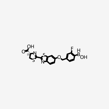 O=C(O)[C@H]1CSC(c2nc3ccc(OCc4ccc(BO)c(F)c4)cc3s2)=N1